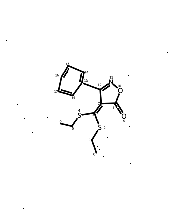 CCSC(SCC)=C1C(=O)ON=C1c1ccccc1